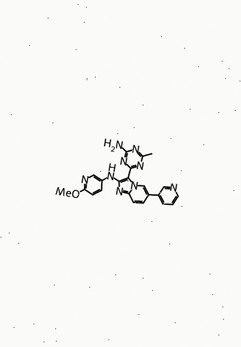 COc1ccc(Nc2nc3ccc(-c4cccnc4)cn3c2-c2nc(C)nc(N)n2)cn1